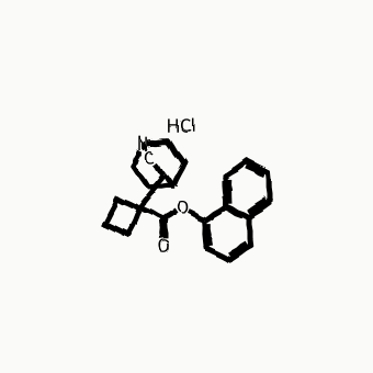 Cl.O=C(Oc1cccc2ccccc12)C1(C2CN3CCC2CC3)CCC1